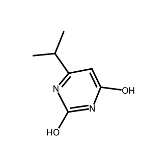 CC(C)c1cc(O)nc(O)n1